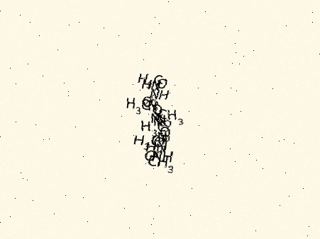 COc1nc(OCc2cccc(-n3nnc(COc4ccc(CNCCNC(C)=O)c(OC)n4)c3C)c2C)ccc1CNCCNC(C)=O